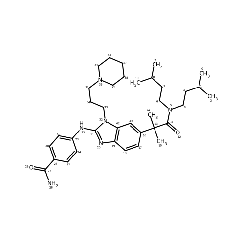 CC(C)CCN(CCC(C)C)C(=O)C(C)(C)c1ccc2nc(Nc3ccc(C(N)=O)cc3)n(CCCN3CCCCC3)c2c1